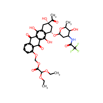 CCOC(OCC)C(=O)OCOc1cccc2c1C(=O)c1c(O)c3c(c(O)c1C2=O)C[C@@](O)(C(C)=O)C[C@@H]3OC1CC(NC(=O)C(F)(F)F)C(O)C(C)O1